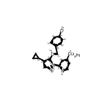 O=C(O)c1ccnc(-n2ncc(C3CC3)c2OCc2ccc(Cl)cc2)c1